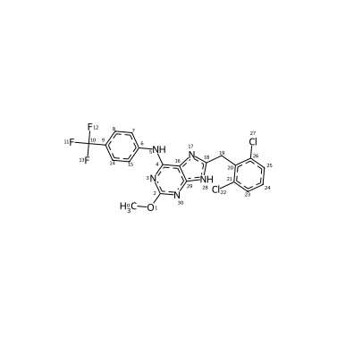 COc1nc(Nc2ccc(C(F)(F)F)cc2)c2nc(Cc3c(Cl)cccc3Cl)[nH]c2n1